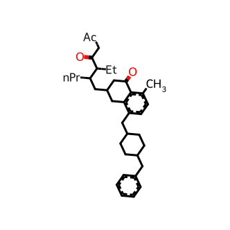 CCCC(CC1CC(=O)c2c(C)ccc(CC3CCC(Cc4ccccc4)CC3)c2C1)C(CC)C(=O)CC(C)=O